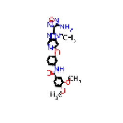 CCn1c(-c2nonc2N)nc2cnc(Oc3cccc(NC(=O)c4ccc(OC)c(OC)c4)c3)cc21